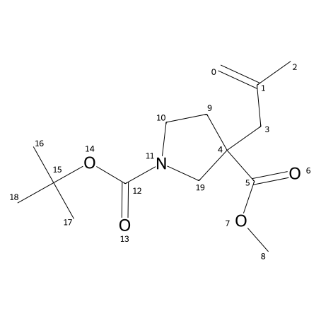 C=C(C)CC1(C(=O)OC)CCN(C(=O)OC(C)(C)C)C1